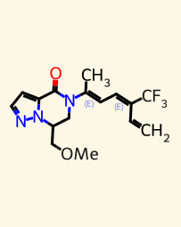 C=C/C(=C\C=C(/C)N1CC(COC)n2nccc2C1=O)C(F)(F)F